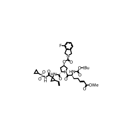 C=CC1CC1(NC(=O)[C@@H]1C[C@@H](OC(=O)N2Cc3cccc(F)c3C2)CN1C(=O)[C@H](CC/C=C/C(=O)OC)NC(=O)OC(C)(C)C)C(=O)NS(=O)(=O)C1CC1